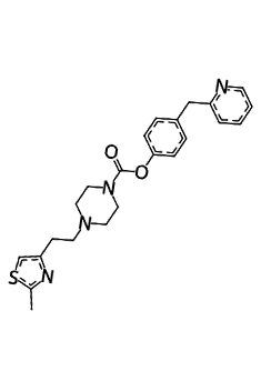 Cc1nc(CCN2CCN(C(=O)Oc3ccc(Cc4ccccn4)cc3)CC2)cs1